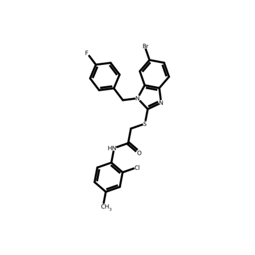 Cc1ccc(NC(=O)CSc2nc3ccc(Br)cc3n2Cc2ccc(F)cc2)c(Cl)c1